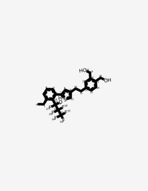 CCc1cccc(-c2cc(CCc3ccc(CO)c(CO)c3)cs2)c1C(O)(F)C(F)(F)C(F)(F)F